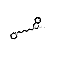 CCN(CCCCCCN1CC[CH]CC1)Cc1ccccc1